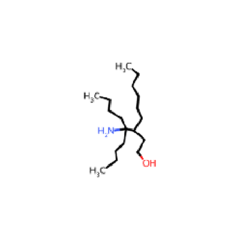 CCCCCCC(CCO)C(N)(CCCC)CCCC